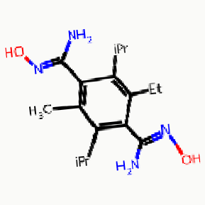 CCc1c(/C(N)=N/O)c(C(C)C)c(C)c(/C(N)=N/O)c1C(C)C